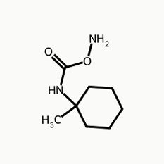 CC1(NC(=O)ON)CCCCC1